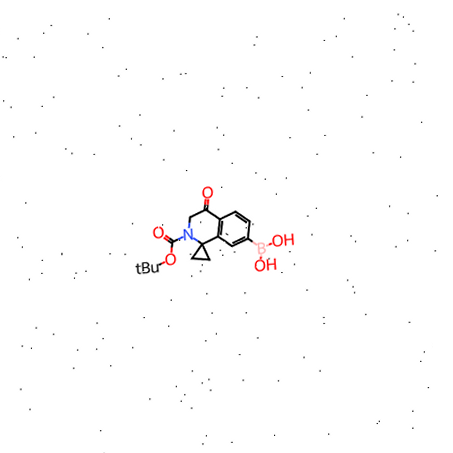 CC(C)(C)OC(=O)N1CC(=O)c2ccc(B(O)O)cc2C12CC2